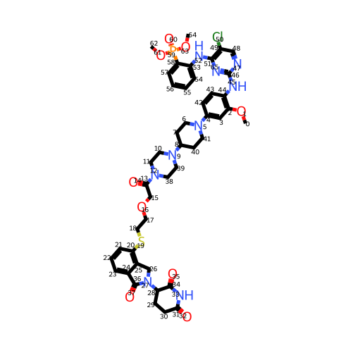 COc1cc(N2CCC(N3CCN(C(=O)COCCSc4cccc5c4CN(C4CCC(=O)NC4=O)C5=O)CC3)CC2)ccc1Nc1ncc(Cl)c(Nc2ccccc2P(=O)(OC)OC)n1